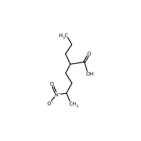 CCCC(CCC(C)[N+](=O)[O-])C(=O)O